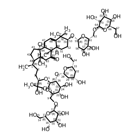 C[C@H](CC[C@@H](O[C@@H]1O[C@H](CO[C@@H]2O[C@H](CO)[C@@H](O)[C@H](O)[C@H]2O)[C@@H](O)[C@H](O)[C@H]1O[C@H]1C[C@@H](O)C[C@@H](CO)O1)C(C)(C)O)[C@H]1CC[C@@]2(C)C3CC=C4[C@@H](CC[C@H](O[C@H]5C[C@@H](O)[C@H](O)[C@@H](CO[C@@H]6O[C@H](CO)[C@@H](O)[C@H](O)[C@H]6O)O5)C4(C)C)[C@]3(C)C(=O)C[C@]12C